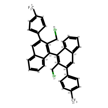 FC(F)(F)c1ccc(-c2cc3ccccc3c(-c3c(CBr)c(-c4ccc(C(F)(F)F)cc4)cc4ccccc34)c2CBr)cc1